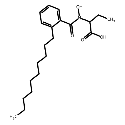 CCCCCCCCCCc1ccccc1C(=O)N(O)C(CC)C(=O)O